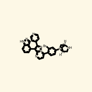 Brc1cc(N2C[C@@H]3C[C@H]2CN3)ccc1-c1ccnc2c(-c3cccc4[nH]ncc34)c(-c3ccncc3)nn12